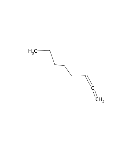 C=C=CCCCCC